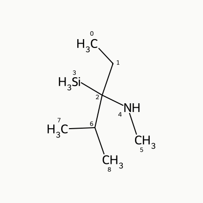 CCC([SiH3])(NC)C(C)C